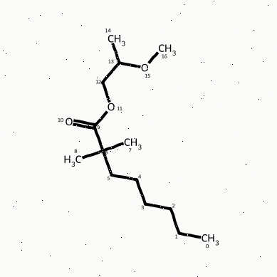 CCCCCCC(C)(C)C(=O)OCC(C)OC